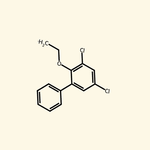 [CH2]COc1c(Cl)cc(Cl)cc1-c1ccccc1